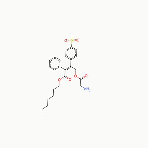 CCCCCCCOC(=O)/C(=C(\COC(=O)CN)c1ccc(S(C)(=O)=O)cc1)c1ccccc1